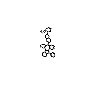 CN1CC=CCC1C1C=CC2C=C(N3c4ccncc4C4=C(c5cnccc53)N(C3=CCCC=C3)C3C=CC=CC43)C=CC2C1